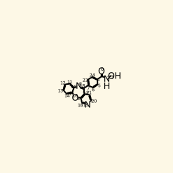 O=C(NO)c1ccc(C2=Nc3ccccc3Oc3cnccc32)cc1